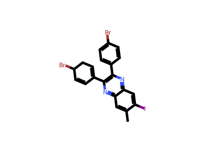 Cc1cc2nc(C3=CCC(Br)C=C3)c(-c3ccc(Br)cc3)nc2cc1I